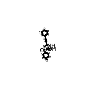 O=S(=O)(CC(C#Cc1ccccc1)NO)c1ccc(F)cc1